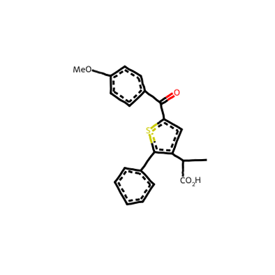 COc1ccc(C(=O)c2cc(C(C)C(=O)O)c(-c3ccccc3)s2)cc1